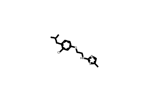 Cc1cnc(NCCOc2ccc([CH]C(C)C)c(Cl)c2)s1